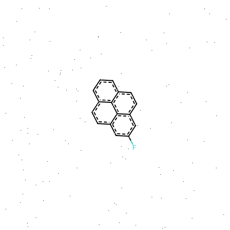 Fc1[c]c2ccc3cccc4ccc(c1)c2c34